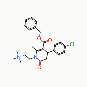 CC1=C(C(=O)OCc2ccccc2)C(c2ccc(Cl)cc2)CC(=O)N1CC[N+](C)(C)C